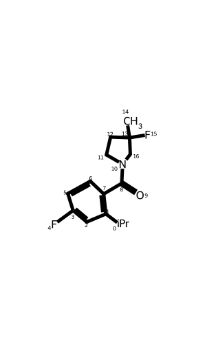 CC(C)c1cc(F)ccc1C(=O)N1CCC(C)(F)C1